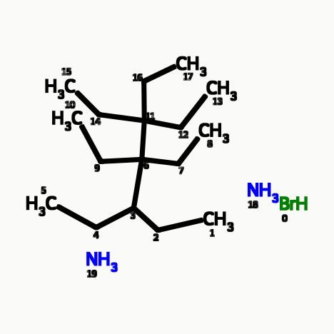 Br.CCC(CC)C(CC)(CC)C(CC)(CC)CC.N.N